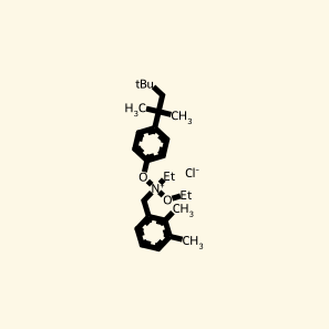 CCO[N+](CC)(Cc1cccc(C)c1C)Oc1ccc(C(C)(C)CC(C)(C)C)cc1.[Cl-]